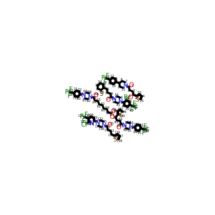 O=C(CCC(=O)N1CCC(c2ccc(C(F)(F)F)cc2)CC1)c1cccs1.O=C(CCCC1=CC=CCC1=S)N1CCN(c2ccc(C(F)(F)F)cc2Br)CC1.O=C(CCCCCCCC(=O)N1CCN(c2ccc(C(F)(F)F)cc2)CC1)OC(CCC(=O)N1CCN(c2ccc(C(F)(F)F)cc2)CC1)c1cccs1.O=C(CCCc1cccs1)N1CCN(c2ccc(C(F)(F)F)c(Cl)n2)CC1